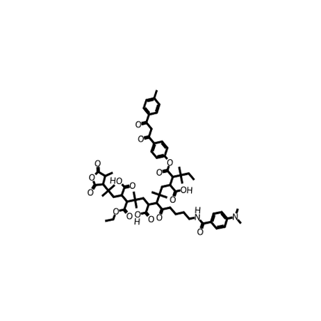 CCOC(=O)C(C(CC(C)(C)C1C(=O)OC(=O)C1C)C(=O)O)C(C)(C)CC(C(=O)O)C(C(=O)CCCCNC(=O)c1ccc(N(C)C)cc1)C(C)(C)CC(C(=O)O)C(C(=O)Oc1ccc(C(=O)CC(=O)c2ccc(C)cc2)cc1)C(C)(C)CC